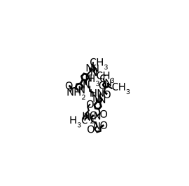 CCc1nc(C)oc1C(=O)Nc1nc2cc(C(N)=O)cc(OCCCN(C)C(=O)CCN3C(=O)C=CC3=O)c2n1C/C=C/Cn1c2ncc(C(N)=O)cc2c2ccc(-c3nc(C)nn3CC)nc21